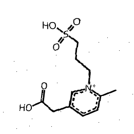 Cc1ccc(CC(=O)O)c[n+]1CCCS(=O)(=O)O